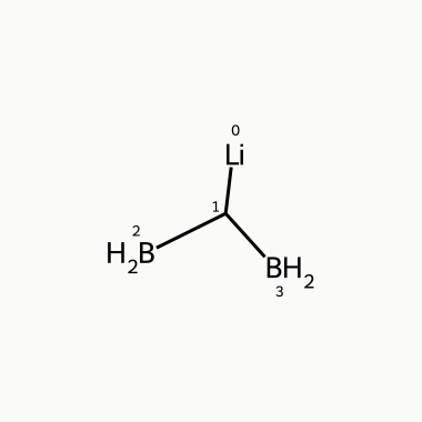 [Li][CH](B)B